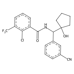 N#Cc1cccc(C(NC(=O)c2cccc(C(F)(F)F)c2Cl)C2(O)CCCC2)c1